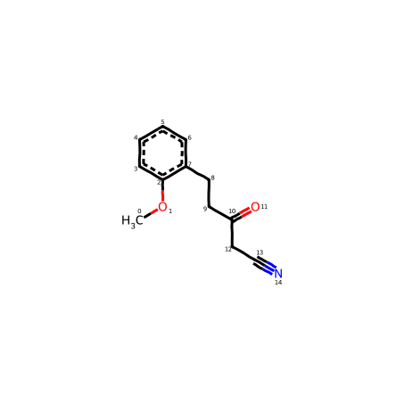 COc1ccccc1CCC(=O)CC#N